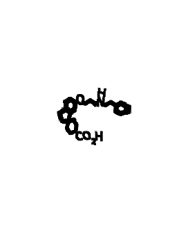 O=C(O)C1CCC2(CCc3ccc(OCCCNCCc4ccccc4)cc32)CC1